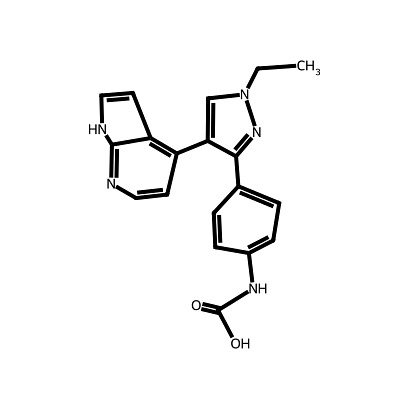 CCn1cc(-c2ccnc3[nH]ccc23)c(-c2ccc(NC(=O)O)cc2)n1